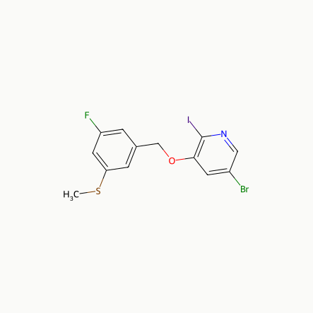 CSc1cc(F)cc(COc2cc(Br)cnc2I)c1